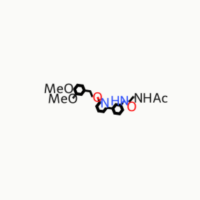 COc1ccc(CCOc2cccc(-c3cccc(NC(=O)CNC(C)=O)c3)n2)cc1OC